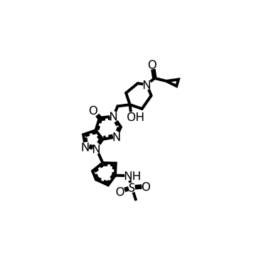 CS(=O)(=O)Nc1cccc(-n2ncc3c(=O)n(CC4(O)CCN(C(=O)C5CC5)CC4)cnc32)c1